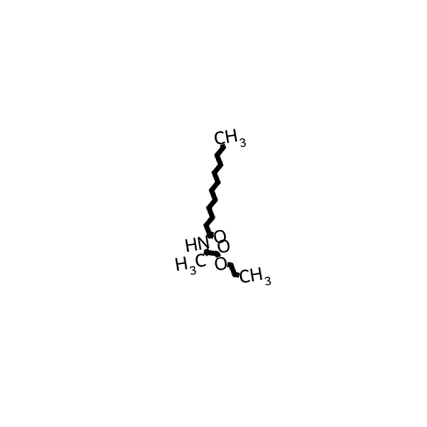 CCCCCCCCCCCC(=O)NC(C)C(=O)OCCC